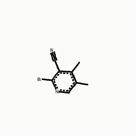 Cc1cnc(Br)c(C#N)c1C